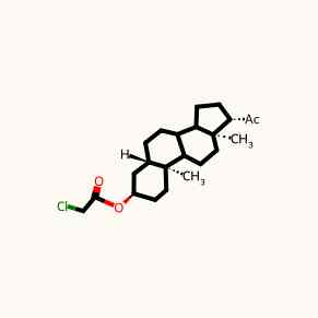 CC(=O)[C@H]1CCC2C3CC[C@H]4C[C@H](OC(=O)CCl)CC[C@]4(C)C3CC[C@@]21C